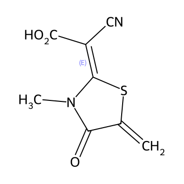 C=c1s/c(=C(\C#N)C(=O)O)n(C)c1=O